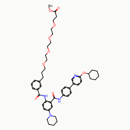 CC(C)(C)OC(=O)CCOCCOCCOCCOCCCc1cccc(C(=O)Nc2ccc(N3CCCCC3)cc2C(=O)Nc2ccc(-c3ccc(OC4CCCCC4)nc3)cc2)c1